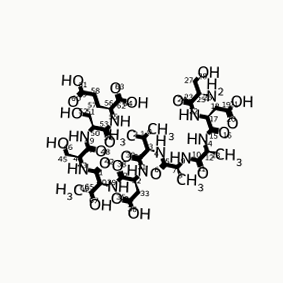 CC(C)[C@H](NC(=O)[C@H](C)NC(=O)[C@H](C)NC(=O)[C@H](CC(=O)O)NC(=O)[C@@H](N)CO)C(=O)N[C@@H](CC(=O)O)C(=O)N[C@H](C(=O)N[C@@H](CO)C(=O)N[C@@H](CO)C(=O)N[C@@H](CCC(=O)O)C(=O)O)[C@@H](C)O